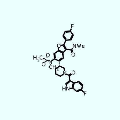 CNC(=O)c1c(-c2ccc(F)cc2)oc2cc(N(C)S(C)(=O)=O)c([C@H]3CCCN(C(=O)c4c[nH]c5cc(F)ccc45)C3)cc12